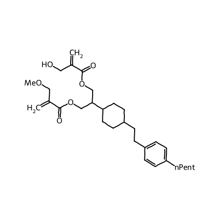 C=C(CO)C(=O)OCC(COC(=O)C(=C)COC)C1CCC(CCc2ccc(CCCCC)cc2)CC1